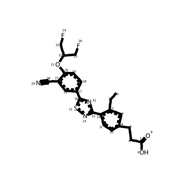 CCc1cc(CCC(=O)O)ccc1-c1nsc(-c2ccc(OC(CF)CF)c(C#N)c2)n1